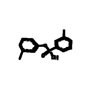 Cc1cccc(OP(=O)(O)c2cccc(C)c2)c1